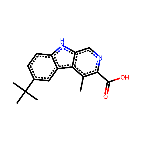 Cc1c(C(=O)O)ncc2[nH]c3ccc(C(C)(C)C)cc3c12